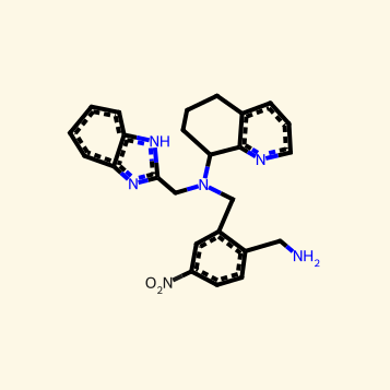 NCc1ccc([N+](=O)[O-])cc1CN(Cc1nc2ccccc2[nH]1)C1CCCc2cccnc21